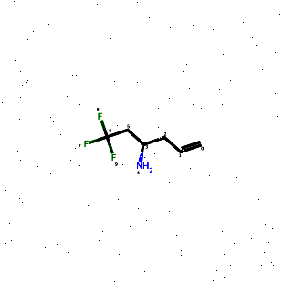 C=CC[C@@H](N)CC(F)(F)F